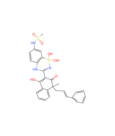 CC1(C/C=C/c2ccccc2)C(=O)C(C2=NS(O)(O)c3cc(NS(C)(=O)=O)ccc3N2)=C(O)c2ccccc21